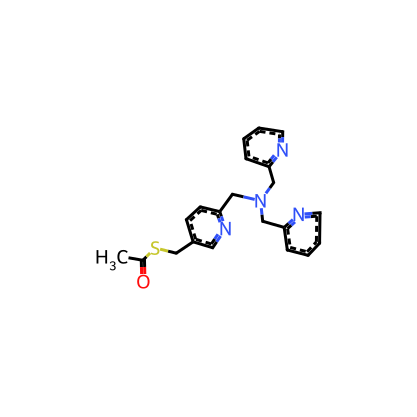 CC(=O)SCc1ccc(CN(Cc2ccccn2)Cc2ccccn2)nc1